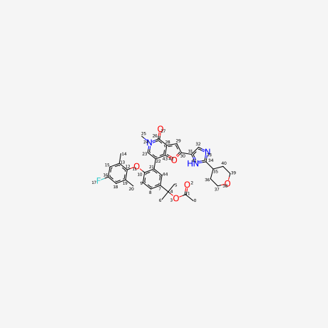 CC(=O)OC(C)(C)c1ccc(Oc2c(C)cc(F)cc2C)c(-c2cn(C)c(=O)c3cc(-c4cnc(C5CCOCC5)[nH]4)oc23)c1